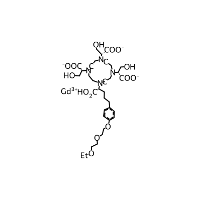 CCOCCOCCOc1ccc(CCC[C@H](C(=O)O)N2CCN([C@H](CO)C(=O)[O-])CCN([C@H](CO)C(=O)[O-])CCN([C@H](CO)C(=O)[O-])CC2)cc1.[Gd+3]